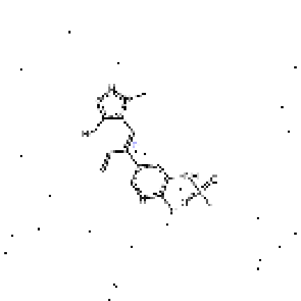 C=C/C(=C\c1c(C#N)cnn1C)c1cnc(Cl)c(NS(C)(=O)=O)c1